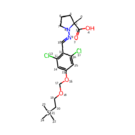 CC1(C(=O)O)CCCN1N=Cc1c(Cl)cc(OCOCC[Si](C)(C)C)cc1Cl